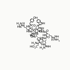 C[C@@H](O)[C@H](NC(=O)[C@H](CC(=O)O)NC(=O)[C@H](Cc1c[nH]c2ccccc12)NC(=O)CNC(=O)[C@H](CCCNC(=N)N)NC(=O)[C@H](CCCNC(=N)N)NC(=O)[C@@H]1CCCN1C(=O)[C@@H](N)CC(=O)O)C(=O)N[C@@H](CCCNC(=N)N)C(=O)N[C@@H](Cc1ccc(O)cc1)C(=O)O